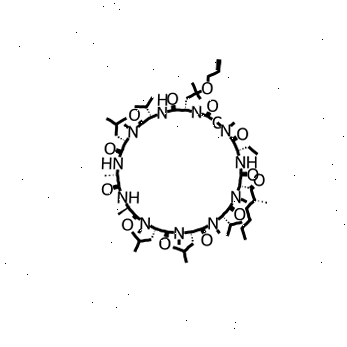 C=CCOC(C)(C)C[C@H]1C(=O)N[C@@H](C(C)C)C(=O)N(C)[C@@H](CC(C)C)C(=O)N[C@@H](C)C(=O)N[C@H](C)C(=O)N(C)[C@@H](CC(C)C)C(=O)N(C)[C@@H](CC(C)C)C(=O)N(C)[C@@H](C(C)C)C(=O)N(C)[C@@H](C(=O)[C@H](C)CCCC)C(=O)N[C@@H](CC)C(=O)N(C)CC(=O)N1C